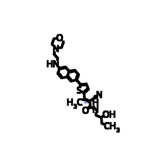 CCC(O)CNC(=O)/C(C#N)=C(\C)c1ccc(-c2ccc3cc(NCCN4CCOCC4)ccc3c2)s1